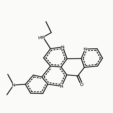 CCNc1cc2c3c(nc4ccc(N(C)C)cc42)C(=O)c2cccnc2-c3n1